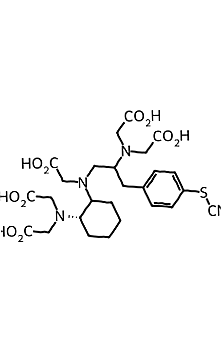 N#CSc1ccc(CC(CN(CC(=O)O)C2CCCC[C@@H]2N(CC(=O)O)CC(=O)O)N(CC(=O)O)CC(=O)O)cc1